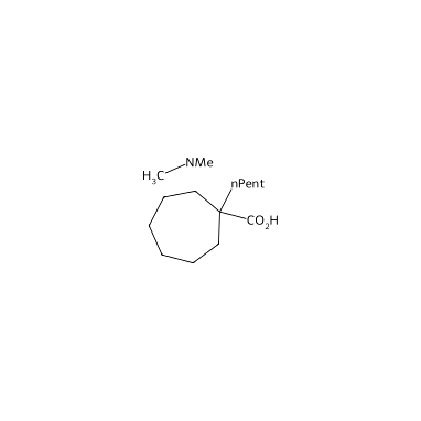 CCCCCC1(C(=O)O)CCCCCC1.CNC